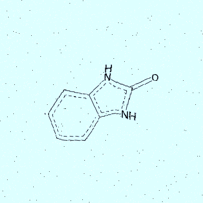 O=c1[nH]c2c[c]ccc2[nH]1